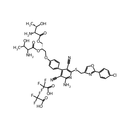 CC(O)C(N)C(=O)O[C@H](COC(=O)[C@@H](N)[C@@H](C)O)COc1ccc(-c2c(C#N)c(N)nc(SCc3coc(-c4ccc(Cl)cc4)n3)c2C#N)cc1.O=C(O)C(F)(F)F.O=C(O)C(F)(F)F